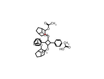 CC(=O)O.CC(=O)OC1C(OC2C(c3ccccc3)C(OC3CC4CCC(C3OC(C)=O)N4C)C2c2ccccc2)CC2CCC1N2C